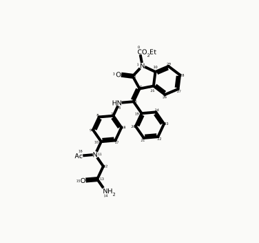 CCOC(=O)N1C(=O)/C(=C(\Nc2ccc(N(CC(N)=O)C(C)=O)cc2)c2ccccc2)c2ccccc21